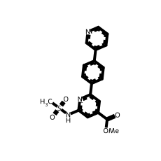 COC(=O)c1cc(NS(C)(=O)=O)nc(-c2ccc(-c3cccnc3)cc2)c1